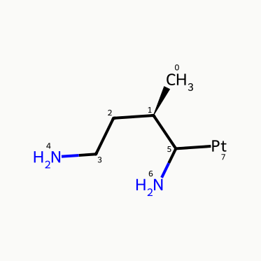 C[C@H](CCN)[CH](N)[Pt]